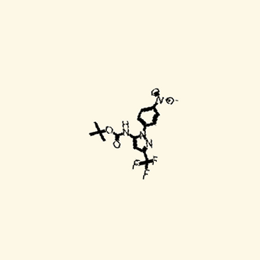 CC(C)(C)OC(=O)Nc1cc(C(F)(F)F)nn1-c1ccc([N+](=O)[O-])cc1